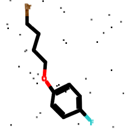 Fc1ccc(OCCCCBr)cc1